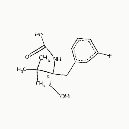 CC(C)(C)[C@](CO)(Cc1cccc(F)c1)NC(=O)O